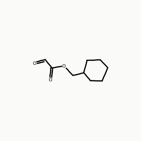 O=CC(=O)OCC1CCCCC1